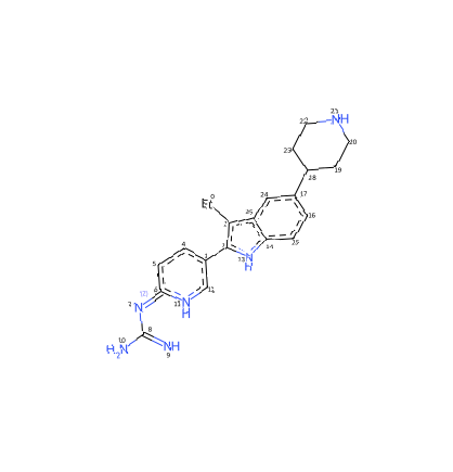 CCc1c(-c2cc/c(=N/C(=N)N)[nH]c2)[nH]c2ccc(C3CCNCC3)cc12